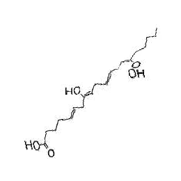 CCCCCC(=CCC=CCC=C(O)CC=CCCCC(=O)O)OO